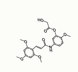 COc1cc(OC)c(/C=C/C(=O)Nc2ccc(OC)c(OC(=O)CO)c2)c(OC)c1